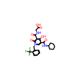 O=C(O)CNC(=O)c1c(O)c(C(=O)NC2CCCCC2)cn(Cc2ccccc2C(F)(F)F)c1=O